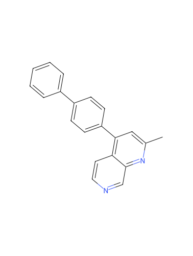 Cc1cc(-c2ccc(-c3ccccc3)cc2)c2ccncc2n1